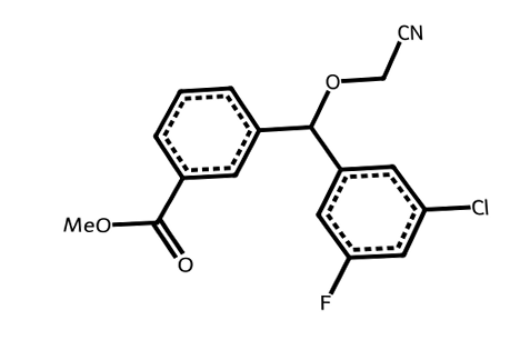 COC(=O)c1cccc(C(OCC#N)c2cc(F)cc(Cl)c2)c1